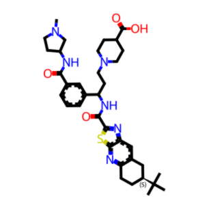 CN1CCC(NC(=O)c2cccc(C(CCN3CCC(C(=O)O)CC3)NC(=O)c3nc4cc5c(nc4s3)CC[C@H](C(C)(C)C)C5)c2)C1